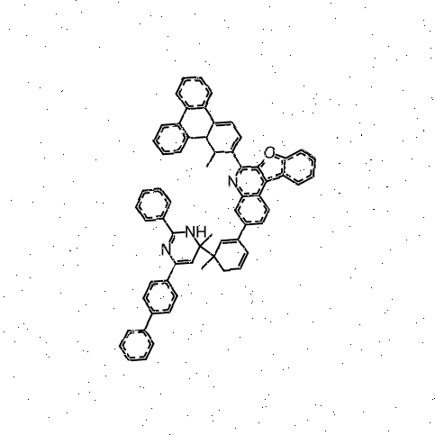 CC1C(c2nc3cc(C4=CC(C)(C5(C)C=C(c6ccc(-c7ccccc7)cc6)N=C(c6ccccc6)N5)CC=C4)ccc3c3c2oc2ccccc23)=CC=C2c3ccccc3-c3ccccc3C21